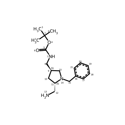 CC(C)(C)OC(=O)NC[C@@H]1C[C@@H](CN)N(Cc2ccccc2)C1